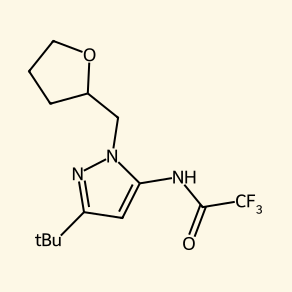 CC(C)(C)c1cc(NC(=O)C(F)(F)F)n(CC2CCCO2)n1